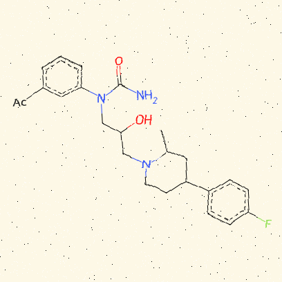 CC(=O)c1cccc(N(CC(O)CN2CCC(c3ccc(F)cc3)CC2C)C(N)=O)c1